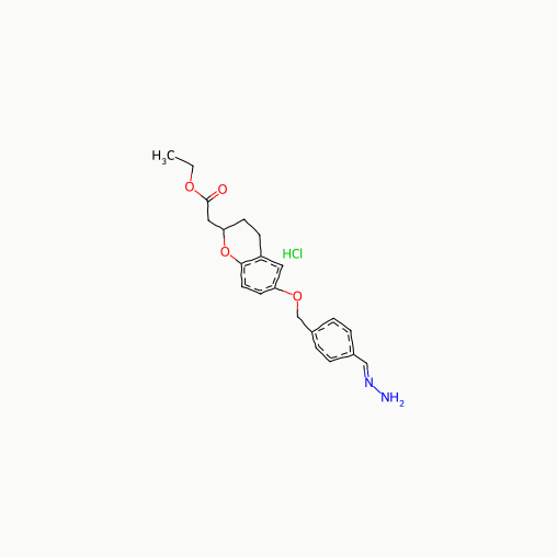 CCOC(=O)CC1CCc2cc(OCc3ccc(C=NN)cc3)ccc2O1.Cl